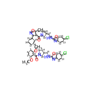 COc1cccc(OC)c1C(=O)N1CC[C@@H](CNc2nc3ccc(Cl)cc3o2)C1.Cc1onc(-c2ccccc2)c1C(=O)N1CC[C@@H](CNc2nc3ccc(Cl)cc3o2)C1